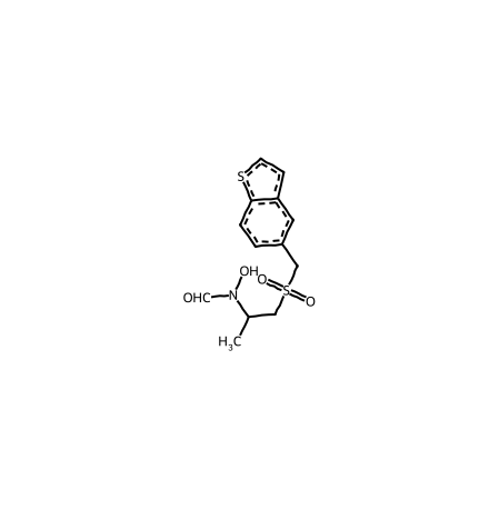 CC(CS(=O)(=O)Cc1ccc2sccc2c1)N(O)C=O